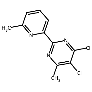 Cc1cccc(-c2nc(C)c(Cl)c(Cl)n2)n1